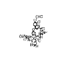 C=C[C@@H]1CC1(NC(=O)[C@@H]1C[C@@H](Oc2cc(-c3coc(NC(C)C)n3)nc3c(Cl)c(OCC=O)ccc23)CN1C(=O)[C@@H](NC(=O)O[C@@H]1C[C@@H]2C[C@@H]2C1)C(C)(C)C)C(=O)OC